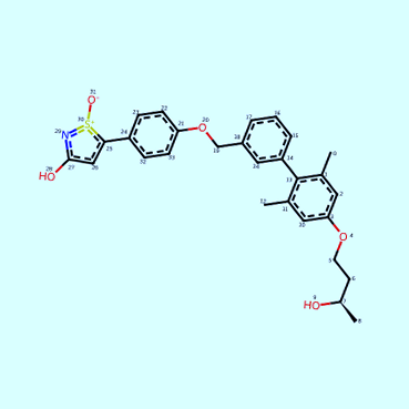 Cc1cc(OCC[C@@H](C)O)cc(C)c1-c1cccc(COc2ccc(-c3cc(O)n[s+]3[O-])cc2)c1